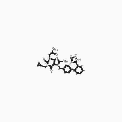 CCCCc1nc2c(c(=O)n(CC3CC3)c(=O)n2CC(=O)OC)n1Cc1ccc(-c2ccccc2-c2nnn[nH]2)cc1